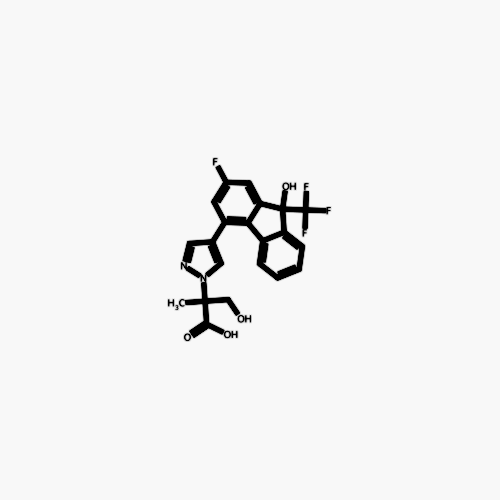 CC(CO)(C(=O)O)n1cc(-c2cc(F)cc3c2-c2ccccc2C3(O)C(F)(F)F)cn1